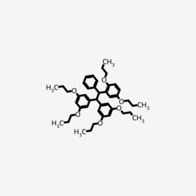 CCCOc1cc(OCCC)cc(C(c2cc(OCCC)cc(OCCC)c2)C(c2ccccc2)c2cc(OCCC)ccc2OCCC)c1